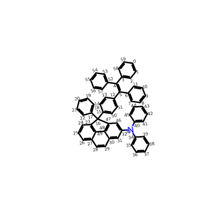 c1ccc(C(=C(c2ccccc2)c2ccc(C3(c4ccccc4)c4cccc5ccc6cc(N(c7ccccc7)c7ccccc7)cc3c6c45)cc2)c2ccccc2)cc1